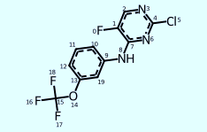 Fc1cnc(Cl)nc1Nc1cccc(OC(F)(F)F)c1